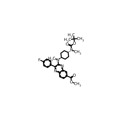 COC(=O)c1ccc2nc(-c3ccc(F)cc3)c(N(C)[C@H]3CC[C@H](N(C)C(=O)OC(C)(C)C)CC3)nc2c1